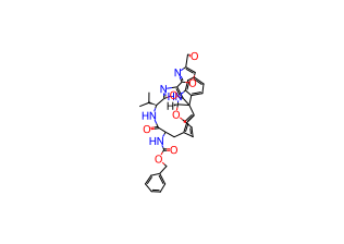 CC(C)[C@@H]1NC(=O)C(NC(=O)OCc2ccccc2)Cc2ccc3c(c2)C2(c4ccccc4N[C@H]2O3)c2oc1nc2-c1nc(C=O)co1